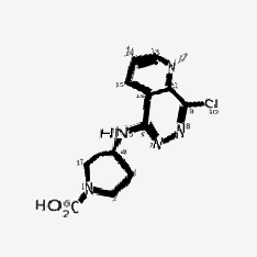 O=C(O)N1CC[C@H](Nc2nnc(Cl)c3ncccc23)C1